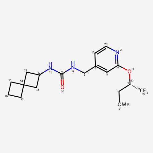 COC[C@H](Oc1cc(CNC(=O)NC2CC3(CCC3)C2)ccn1)C(F)(F)F